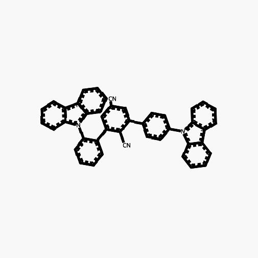 N#Cc1cc(-c2ccc(-n3c4ccccc4c4ccccc43)cc2)c(C#N)c(-c2ccccc2-n2c3ccccc3c3ccccc32)c1